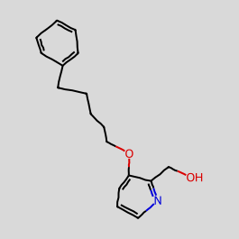 OCc1ncccc1OCCCCCc1ccccc1